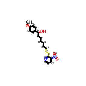 COc1ccc(C(O)CCCCCCSSc2ncccc2[N+](=O)[O-])cc1